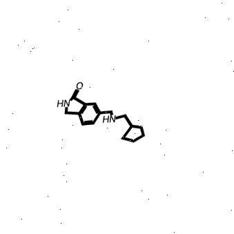 O=C1NCc2ccc(CNCC3CCCC3)cc21